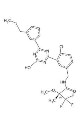 CCCc1cccc(-c2nc(O)nc(-c3cc(CNC(=O)[C@@](C)(OC)C(F)(F)F)ccc3Cl)n2)c1